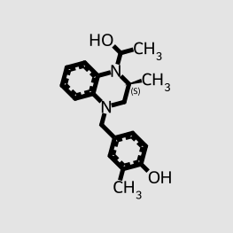 Cc1cc(CN2C[C@H](C)N(C(C)O)c3ccccc32)ccc1O